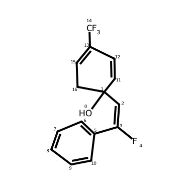 OC1(/C=C(/F)c2ccccc2)C=CC(C(F)(F)F)=CC1